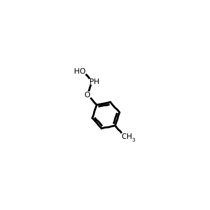 Cc1ccc(OPO)cc1